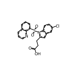 O=C(O)CCc1cc2cc(Cl)ccc2n1S(=O)(=O)c1cccc2cccnc12